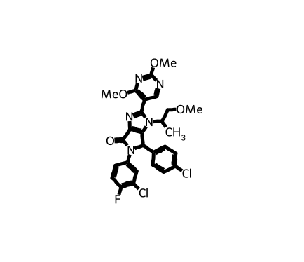 COCC(C)n1c(-c2cnc(OC)nc2OC)nc2c1C(c1ccc(Cl)cc1)N(c1ccc(F)c(Cl)c1)C2=O